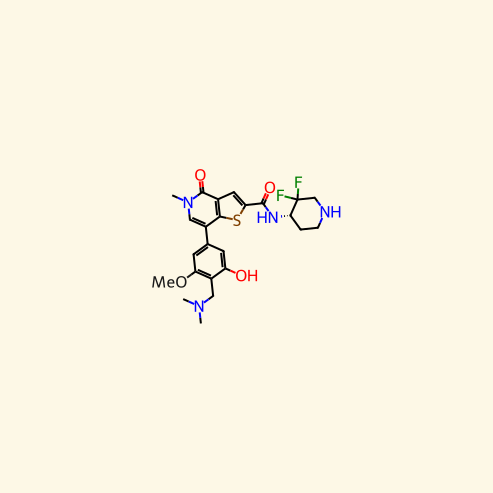 COc1cc(-c2cn(C)c(=O)c3cc(C(=O)N[C@H]4CCNCC4(F)F)sc23)cc(O)c1CN(C)C